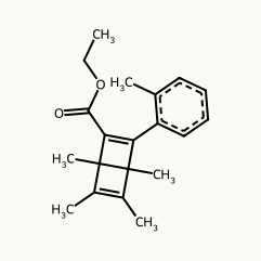 CCOC(=O)C1=C(c2ccccc2C)C2(C)C(C)=C(C)C12C